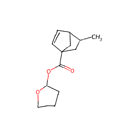 CC1CC2(C(=O)OC3CCCO3)C=CC1C2